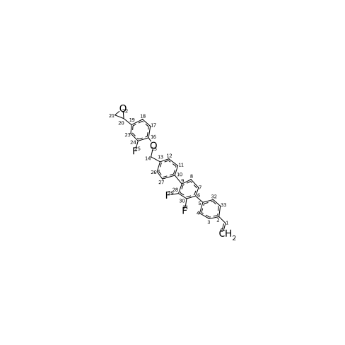 C=Cc1ccc(-c2ccc(-c3ccc(COc4ccc(C5CO5)cc4F)cc3)c(F)c2F)cc1